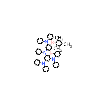 Cc1cc(C)c(B2c3ccccc3N(c3ccccc3)c3cc4c(cc32)B2c3ccccc3N(c3ccccc3)c3cc(N(c5ccccc5)c5ccccc5)cc(c32)N4c2ccccc2)c(C)c1